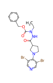 CCN(NC(=O)C1CCN(c2c(Br)cncc2Br)C1)C(=O)OCc1ccccc1